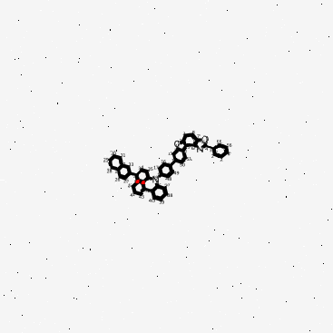 c1ccc(-c2nc3c(ccc4oc5cc(-c6ccc(N(c7ccc(-c8ccc9ccccc9c8)cc7)c7ccccc7-c7ccccc7)cc6)ccc5c43)o2)cc1